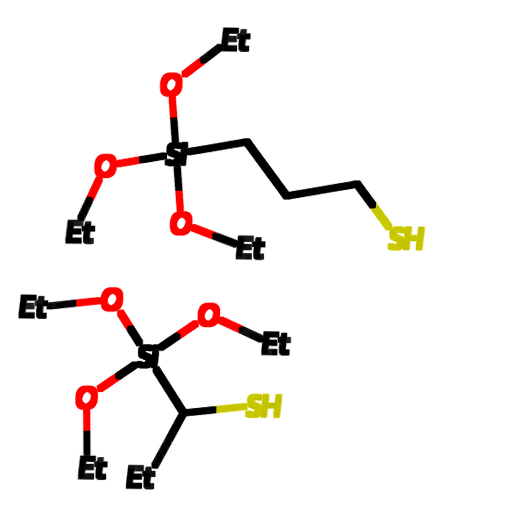 CCO[Si](CCCS)(OCC)OCC.CCO[Si](OCC)(OCC)C(S)CC